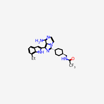 CCc1cccc2cc(-c3nc([C@H]4CC[C@H](CNC(=O)C(F)(F)F)CC4)n4ccnc(N)c34)[nH]c12